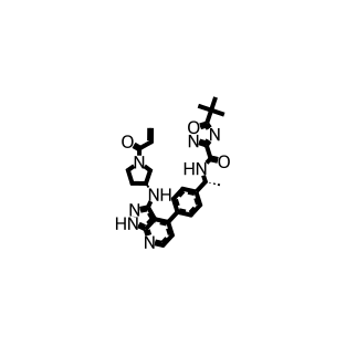 C=CC(=O)N1CC[C@@H](Nc2n[nH]c3nccc(-c4ccc([C@@H](C)NC(=O)c5noc(C(C)(C)C)n5)cc4)c23)C1